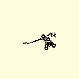 CCCCCCCCCCCCCCCCCCN.CN(C)CCCN1c2ccccc2CCc2ccccc21.O=C(O)c1cc2ccccc2c(Cc2c(O)c(C(=O)O)cc3ccccc23)c1O